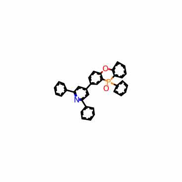 O=P1(c2ccccc2)c2ccccc2Oc2ccc(-c3cc(-c4ccccc4)nc(-c4ccccc4)c3)cc21